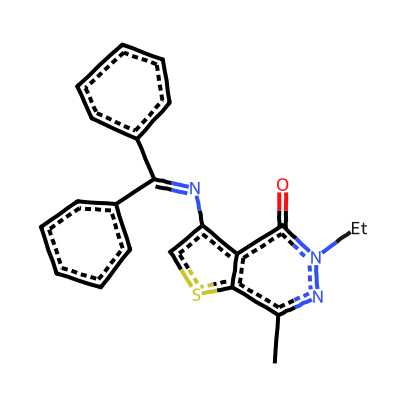 CCn1nc(C)c2scc(N=C(c3ccccc3)c3ccccc3)c2c1=O